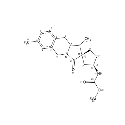 CC1C2Cc3ncc(C(F)(F)F)cc3CN2C(=O)[C@]12CC[C@@H](NC(=O)OC(C)(C)C)C2